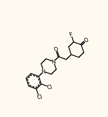 O=C1CCC(CC(=O)N2CCN(c3cccc(Cl)c3Cl)CC2)CC1F